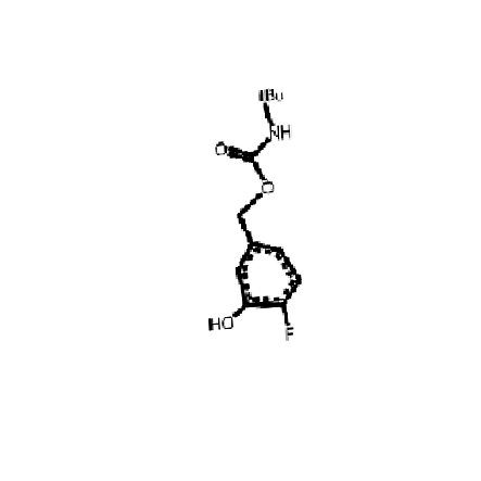 CC(C)(C)NC(=O)OCc1ccc(F)c(O)c1